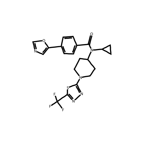 O=C(c1ccc(-c2cnco2)cc1)N(C1CC1)C1CCN(c2nnc(C(F)(F)F)s2)CC1